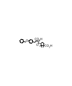 CN(C(=O)[C@H]1CC[C@@](C)(C(=O)O)C1(C)C)[C@@H](Cc1ccc(OCc2ccccc2)cc1)C(=O)O